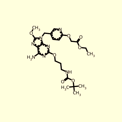 CCOC(=O)COc1ccc(Cn2c(OC)nc3c(N)nc(OCCCNC(=O)OC(C)(C)C)nc32)cn1